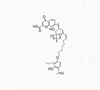 CCCc1c(OCCCCCC/C=C\C=C\[C@H](Sc2ccc3c(=O)cc(C(=O)O)oc3c2)[C@@H](O)C(Cl)(Cl)C(F)(F)F)ccc(C(C)=O)c1O